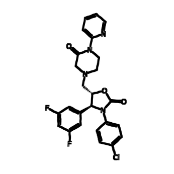 O=C1CN(C[C@@H]2OC(=O)N(c3ccc(Cl)cc3)[C@H]2c2cc(F)cc(F)c2)CCN1c1ccccn1